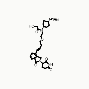 [N-]=[N+]=N[C@H]1CC[C@@H](N(CCOCCC#Cc2cccc3c2CN(C2CCC(=O)NC2=O)C3=O)C(=O)CO)CC1